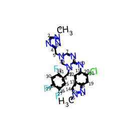 Cn1cnc(CN2C=N/C(=N/c3cc4cn(C)nc4cc3Cl)N(Cc3cc(F)c(F)cc3F)C2)n1